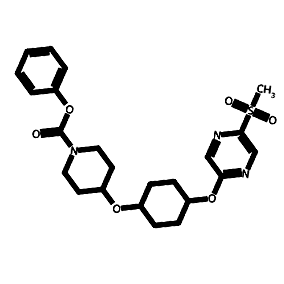 CS(=O)(=O)c1cnc(OC2CCC(OC3CCN(C(=O)Oc4ccccc4)CC3)CC2)cn1